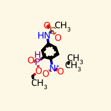 CC.CCO[PH](=O)c1cc(NS(C)(=O)=O)ccc1[N+](=O)[O-]